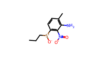 CCC[S+]([O-])c1ccc(C)c(N)c1[N+](=O)[O-]